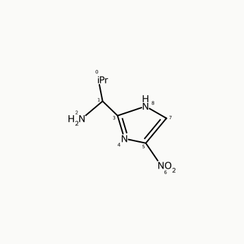 CC(C)C(N)c1nc([N+](=O)[O-])c[nH]1